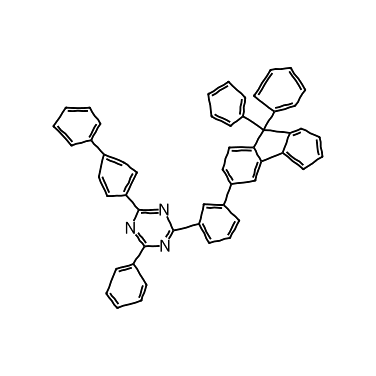 c1ccc(-c2ccc(-c3nc(-c4ccccc4)nc(-c4cccc(-c5ccc6c(c5)-c5ccccc5C6(c5ccccc5)c5ccccc5)c4)n3)cc2)cc1